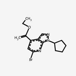 C=C(OCC)c1cc(Br)nc2c1cnn2C1CCCC1